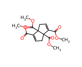 COC(=O)C1=CCC2(C(=O)OC)C(C(=O)OC)=CCC12C(=O)OC